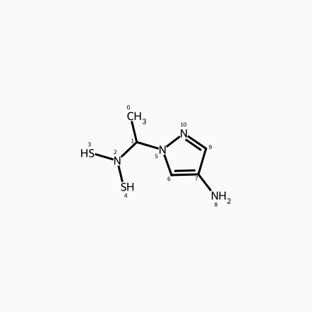 CC(N(S)S)n1cc(N)cn1